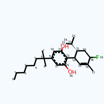 CCCCCCC(C)(C)c1cc(O)c(C2C=C(C)C(F)C[C@H]2C(C)C)c(O)c1